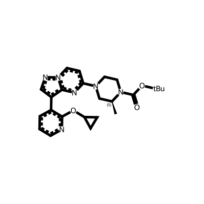 C[C@H]1CN(c2ccn3ncc(-c4cccnc4OC4CC4)c3n2)CCN1C(=O)OC(C)(C)C